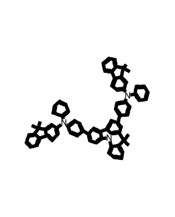 CC1(C)c2ccccc2-c2ccc(N(c3ccccc3)c3ccc(-c4ccc5c(c4)c4cc(-c6ccc(N(c7ccccc7)c7ccc8c(c7)C(C)(C)c7ccccc7-8)cc6)cc6c4n5-c4ccccc4C6(C)C)cc3)cc21